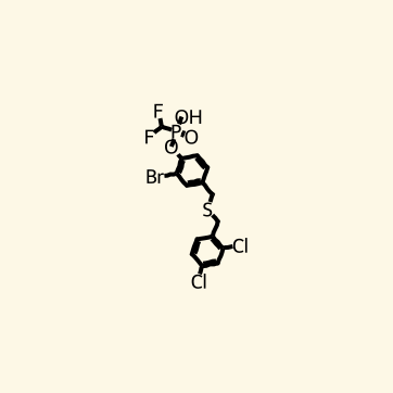 O=P(O)(Oc1ccc(CSCc2ccc(Cl)cc2Cl)cc1Br)C(F)F